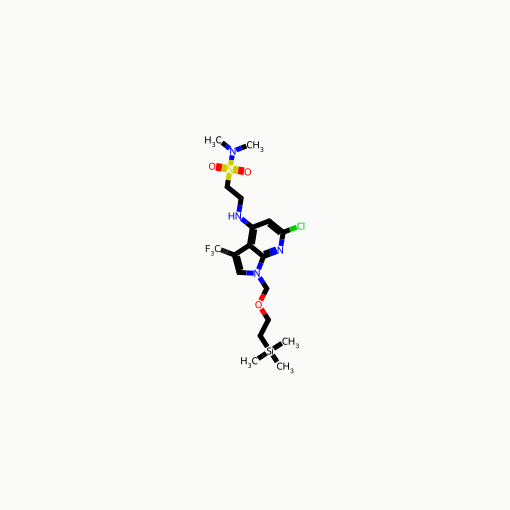 CN(C)S(=O)(=O)CCNc1cc(Cl)nc2c1c(C(F)(F)F)cn2COCC[Si](C)(C)C